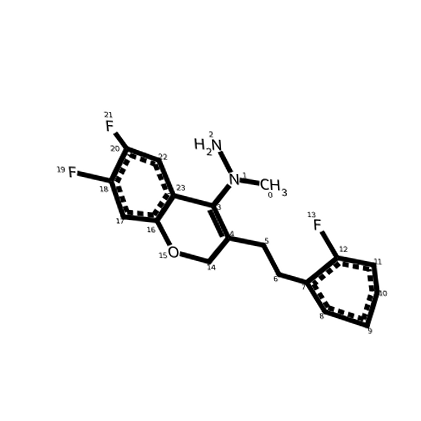 CN(N)C1=C(CCc2ccccc2F)COc2cc(F)c(F)cc21